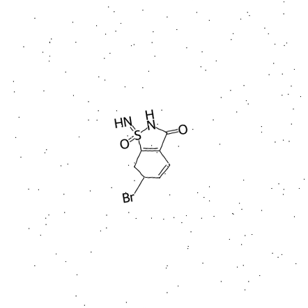 N=S1(=O)NC(=O)C2=C1CC(Br)C=C2